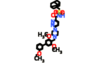 CCOc1cccc(-c2cc(OC)c(CN3CCN(c4ccc(C(=O)NS(=O)(=O)CC56CC7CC(CC(C7)C5)C6)nn4)CC3)c(OC)c2)c1